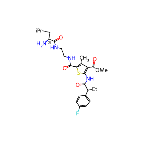 CCC(C(=O)Nc1sc(C(=O)NCCNC(=O)[C@@H](N)CC(C)C)c(C)c1C(=O)OC)c1ccc(F)cc1